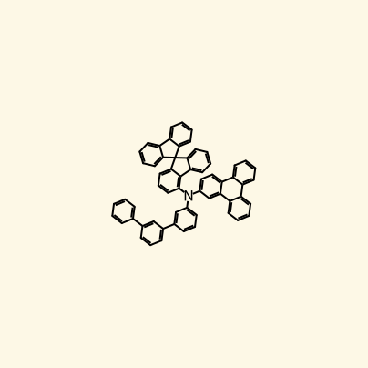 c1ccc(-c2cccc(-c3cccc(N(c4ccc5c6ccccc6c6ccccc6c5c4)c4cccc5c4-c4ccccc4C54c5ccccc5-c5ccccc54)c3)c2)cc1